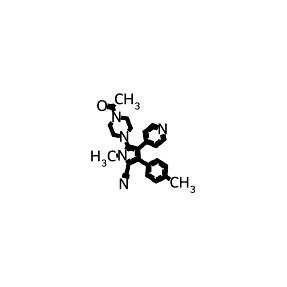 CC(=O)N1CCN(c2c(-c3ccncc3)c(-c3ccc(C)cc3)c(C#N)n2C)CC1